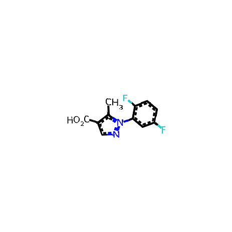 Cc1c(C(=O)O)cnn1-c1cc(F)ccc1F